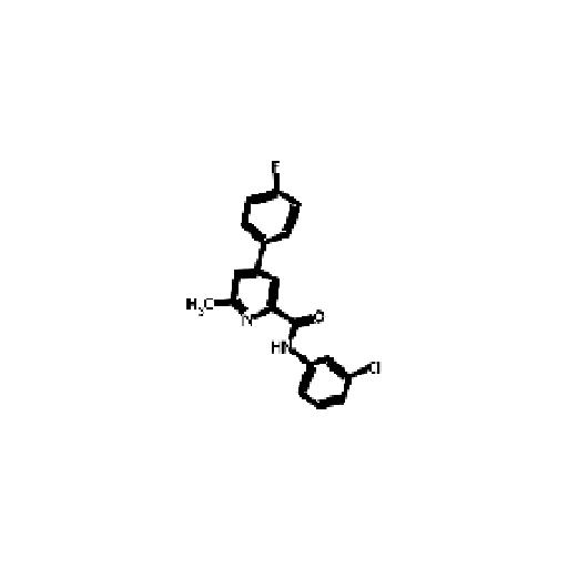 Cc1cc(-c2ccc(F)cc2)cc(C(=O)Nc2cccc(Cl)c2)n1